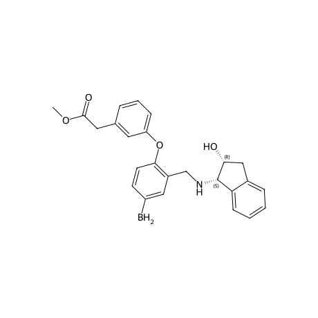 Bc1ccc(Oc2cccc(CC(=O)OC)c2)c(CN[C@H]2c3ccccc3C[C@H]2O)c1